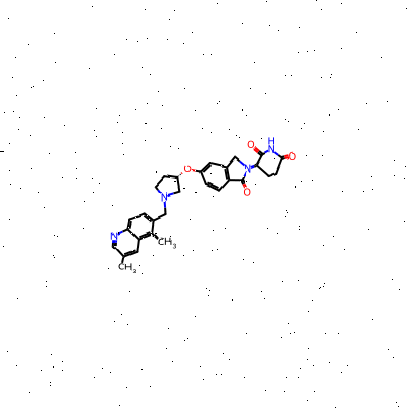 Cc1cnc2ccc(CN3CC[C@H](Oc4ccc5c(c4)CN(C4CCC(=O)NC4=O)C5=O)C3)c(C)c2c1